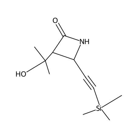 CC(C)(O)C1C(=O)NC1C#C[Si](C)(C)C